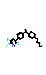 CCCCCC1CCC(C(C)c2ccc(-c3cc(F)c(F)nc3F)cc2)CC1